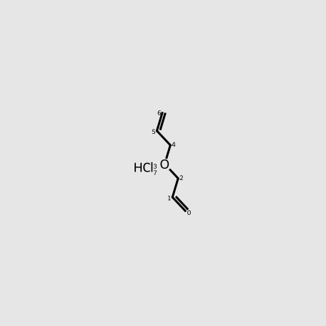 C=CCOCC=C.Cl